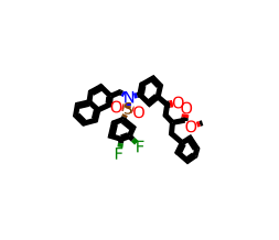 COC(=O)C(CC(=O)c1cccc(N(Cc2ccc3ccccc3c2)S(=O)(=O)c2ccc(F)c(F)c2)c1)Cc1ccccc1